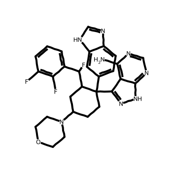 Nc1ncnc2[nH]nc(C3(c4ccc5nc[nH]c5c4)CCC(N4CCOCC4)CC3C(F)c3cccc(F)c3F)c12